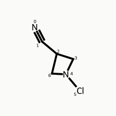 N#CC1CN(Cl)C1